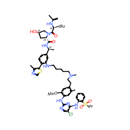 C=C(C)N[C@H](C(=O)N1C[C@H](O)C[C@H]1C(=O)N[C@@H](C)c1ccc(-c2scnc2C)c(NCCCCCN(C)CCc2cc(OC)c(Nc3ncc(Cl)c(Nc4ccccc4S(=O)(=O)C(C)C)n3)cc2C)c1)C(C)(C)C